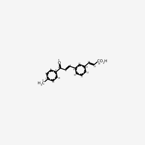 Cc1ccc(C(=O)C=Cc2cccc(C=CC(=O)O)c2)cc1